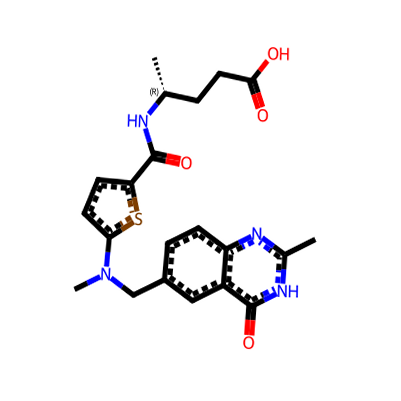 Cc1nc2ccc(CN(C)c3ccc(C(=O)N[C@H](C)CCC(=O)O)s3)cc2c(=O)[nH]1